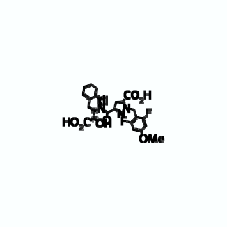 COc1cc(F)c(Cn2nc(C(=O)N[C@H](Cc3ccccc3Cl)[C@@H](O)C(=O)O)cc2C(=O)O)c(F)c1